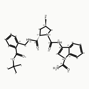 CC(C)(C)OC(=O)c1ccccc1CNC(=O)[C@@H]1C[C@@H](F)CN1C(=O)Nc1cn(C(N)=O)c2ccccc12